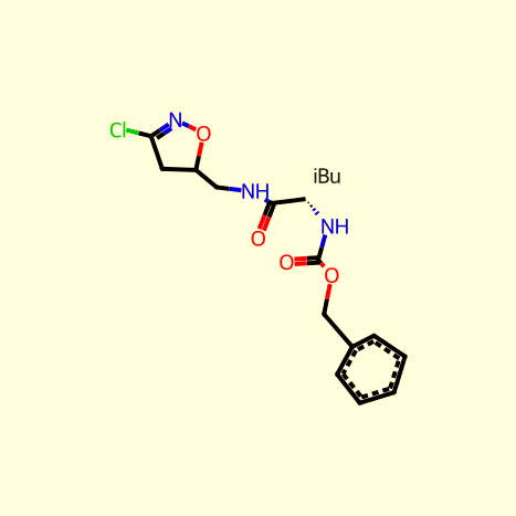 CC[C@H](C)[C@H](NC(=O)OCc1ccccc1)C(=O)NCC1CC(Cl)=NO1